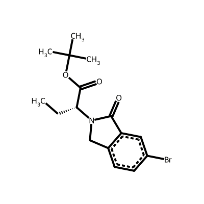 CC[C@H](C(=O)OC(C)(C)C)N1Cc2ccc(Br)cc2C1=O